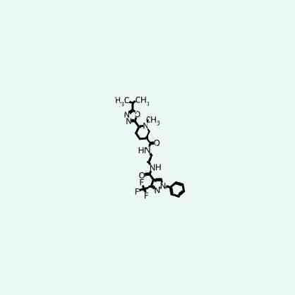 CC(C)c1nnc(C2CCC(C(=O)NCCNC(=O)c3cn(-c4ccccc4)nc3C(F)(F)F)CN2C)o1